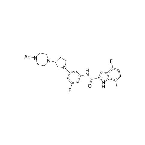 CC(=O)N1CCN(C2CCN(c3cc(F)cc(NC(=O)c4cc5c(F)ccc(C)c5[nH]4)c3)C2)CC1